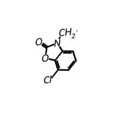 [CH2]n1c(=O)oc2c(Cl)cccc21